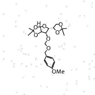 COc1ccc(COCO[C@H]2C3OC(C)(C)O[C@H]3O[C@@H]2C2COC(C)(C)O2)cc1